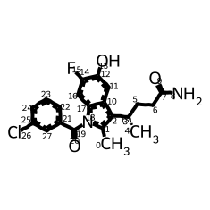 Cc1c([C@@H](C)CCC(N)=O)c2cc(O)c(F)cc2n1C(=O)c1cccc(Cl)c1